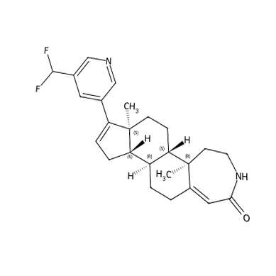 C[C@]12CCNC(=O)C=C1CC[C@@H]1[C@@H]2CC[C@]2(C)C(c3cncc(C(F)F)c3)=CC[C@@H]12